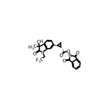 CC1(C)C(=O)N(CC(F)(F)F)c2cc([C@H]3C[C@@H]3C(=O)ON3C(=O)c4ccccc4C3=O)ccc21